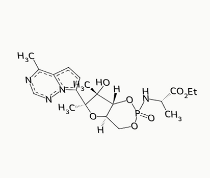 CCOC(=O)[C@H](C)NP1(=O)OC[C@H]2O[C@@](C)(c3ccc4c(C)ncnn34)[C@](C)(O)[C@@H]2O1